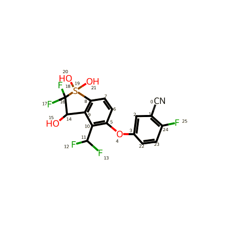 N#Cc1cc(Oc2ccc3c(c2C(F)F)C(O)C(F)(F)S3(O)O)ccc1F